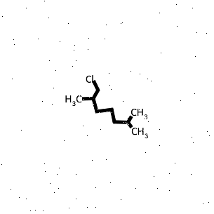 CC(C)CCCC(C)CCl